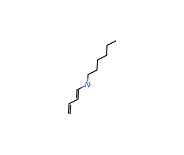 [CH]=CC=C[N]CCCCCC